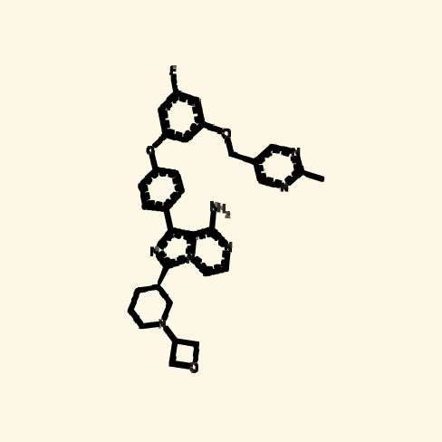 Cc1ncc(COc2cc(F)cc(Oc3ccc(-c4nc([C@@H]5CCCN(C6COC6)C5)n5ccnc(N)c45)cc3)c2)cn1